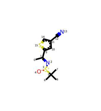 CC(=N[S+]([O-])C(C)(C)C)c1cc(C#N)cs1